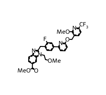 COCCn1c(Cc2ccc(-c3cccc(OCc4ccc(C(F)(F)F)nc4OC)n3)cc2F)nc2ccc(C(=O)OC)cc21